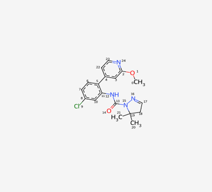 COc1cc(-c2ccc(Cl)cc2NC(=O)N2N=CCC2(C)C)ccn1